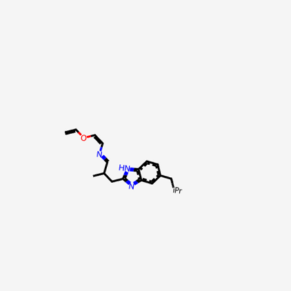 C=CO/C=C\N=C\C(C)Cc1nc2cc(CC(C)C)ccc2[nH]1